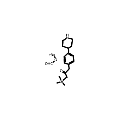 CC(C)(C)OC=O.C[Si](C)(C)CC(=O)Cc1ccc(C2CCNCC2)cc1